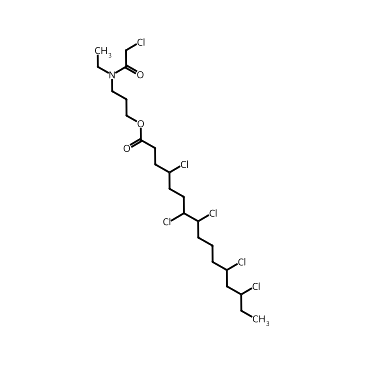 CCC(Cl)CC(Cl)CCCC(Cl)C(Cl)CCC(Cl)CCC(=O)OCCCN(CC)C(=O)CCl